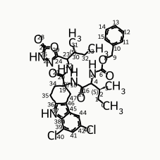 CC[C@H](C)C(NC(=O)OCc1ccccc1)C(=O)N[C@]1(C(=O)NC(c2n[nH]c(=O)o2)[C@@H](C)CC)CCc2[nH]c3c(Cl)cc(Cl)cc3c2C1